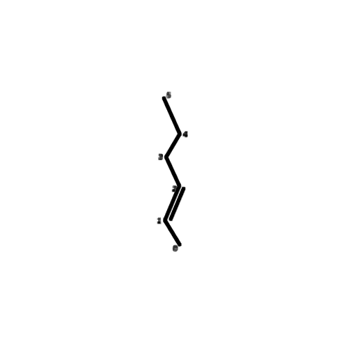 CC=CCCC